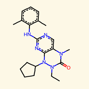 CCN1C(=O)N(C)c2cnc(Nc3c(C)cccc3C)nc2N1C1CCCC1